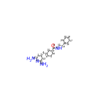 Nc1cc(Cc2cccc(C(=O)NCCc3ccccc3)c2)cc(N)n1